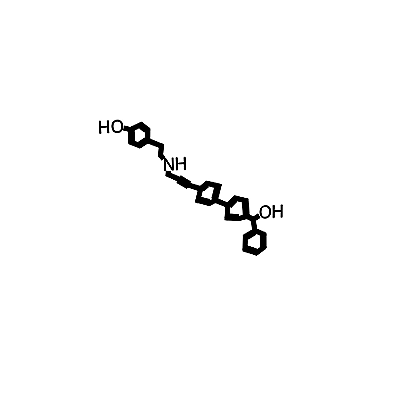 Oc1ccc(CCNCC#Cc2ccc(-c3ccc(C(O)c4ccccc4)cc3)cc2)cc1